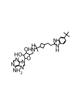 CC(C)(C)c1ccc2[nH]c(CCC3CC(C(C)(C)NCC4OC(n5cnc6c(N)ncnc65)C(O)C4O)C3)nc2c1